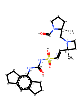 C[C@@]1(CN2CC[C@@]2(C)/C=C/S(=O)(=O)NC(=O)Nc2c3c(cc4c2CCC4)CCC3)CCCN1[C]=O